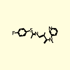 C=C(/C(C)=C/N=C(\C)Sc1ccc(F)cc1)N(C)c1cccnc1